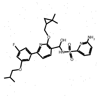 CC(C)COc1cc(F)cc(-c2ccc(C(O)NS(=O)(=O)c3cccc(N)n3)c(OCC3CC3(C)C)n2)c1